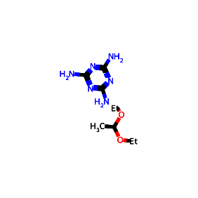 CCOC(C)OCC.Nc1nc(N)nc(N)n1